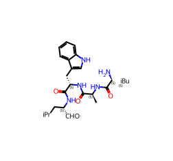 CC[C@H](C)[C@H](N)C(=O)N[C@@H](C)C(=O)N[C@@H](Cc1c[nH]c2ccccc12)C(=O)N[C@H]([C]=O)CC(C)C